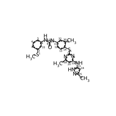 CSc1cccc(NC(=O)Nc2ccc(Sc3nc(C)cc(Nc4cc(C)n[nH]4)n3)c(C)c2)c1